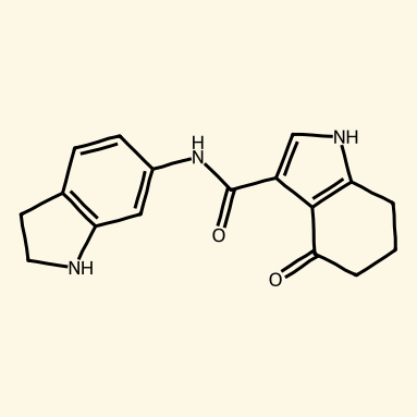 O=C(Nc1ccc2c(c1)NCC2)c1c[nH]c2c1C(=O)CCC2